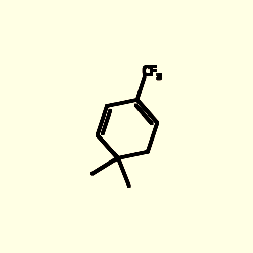 CC1(C)C=CC(C(F)(F)F)=CC1